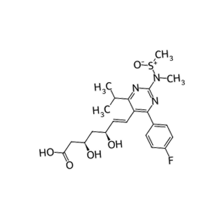 CC(C)c1nc(N(C)[S+](C)[O-])nc(-c2ccc(F)cc2)c1C=C[C@@H](O)C[C@@H](O)CC(=O)O